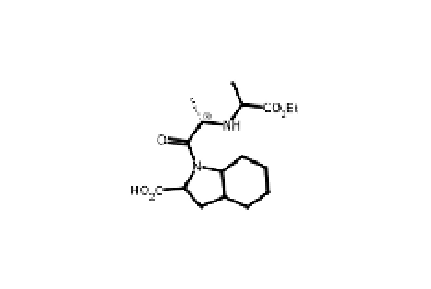 CCOC(=O)C(C)N[C@@H](C)C(=O)N1C(C(=O)O)CC2CCCCC21